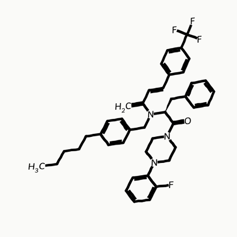 C=C(/C=C/c1ccc(C(F)(F)F)cc1)N(Cc1ccc(CCCCC)cc1)[C@@H](Cc1ccccc1)C(=O)N1CCN(c2ccccc2F)CC1